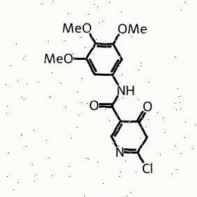 COc1cc(NC(=O)C2=CN=C(Cl)CC2=O)cc(OC)c1OC